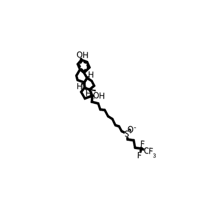 C[C@]12CC[C@@H]3c4ccc(O)cc4CC[C@H]3[C@@H]1CC[C@]2(O)CCCCCCCCC[S+]([O-])CCCC(F)(F)C(F)(F)F